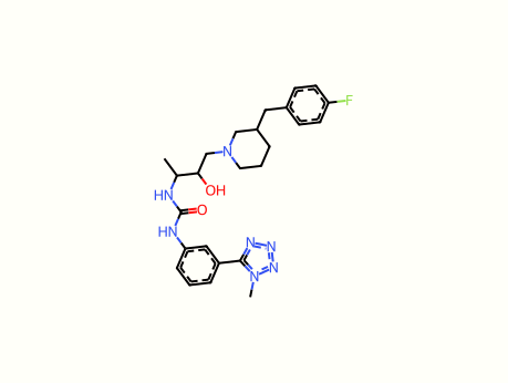 CC(NC(=O)Nc1cccc(-c2nnnn2C)c1)C(O)CN1CCCC(Cc2ccc(F)cc2)C1